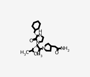 CC(C)C[C@@H](C(=O)N1CCC(CC(N)=O)CC1)N1CCN[C@@H](CC2CCCCC2)C1=O